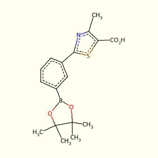 Cc1nc(-c2cccc(B3OC(C)(C)C(C)(C)O3)c2)sc1C(=O)O